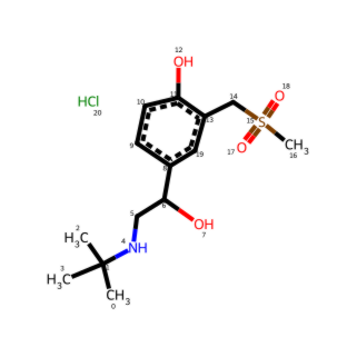 CC(C)(C)NCC(O)c1ccc(O)c(CS(C)(=O)=O)c1.Cl